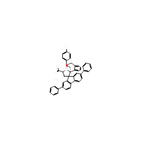 CC(=O)C1[C@@H](C)C2(c3cc(-c4ccccc4)ccc3-c3ccc(-c4ccccc4)cc32)[C@@]2(CCc3ccc(F)cc3)c3ccccc3CCN12